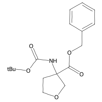 CC(C)(C)OC(=O)NC1(C(=O)OCc2ccccc2)CCOC1